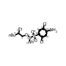 CCCCC(CC)CON(CCC)S(=O)(=O)c1cc(Cl)c(N)cc1Cl